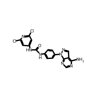 Nc1ncnc2c1cnn2-c1ccc(NC(=O)Nc2cc(Cl)nc(Cl)c2)cc1